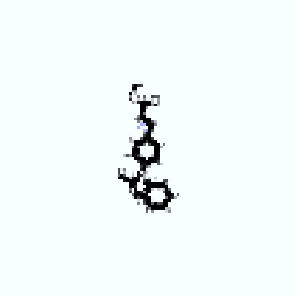 COC(=O)/C=C/c1ccc(-n2c(C)nc3ccccc32)cc1